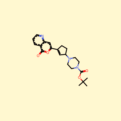 CC(C)(C)OC(=O)N1CCN(C2C=C(c3cc4ncccc4c(=O)o3)CC2)CC1